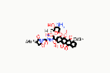 COc1cccc2c1C(=O)c1c(O)c3c(c(O)c1C2=O)C[C@@](O)(/C(CO)=N/NC(=O)CN1C(=O)CC(SC)C1=O)C[C@@H]3OC1CC(N)C(O)C(C)O1